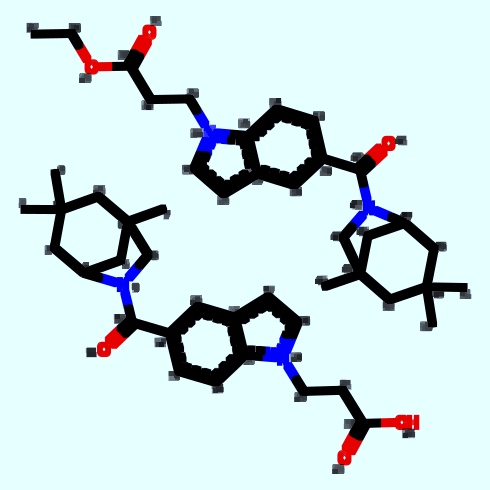 CC1(C)CC2CC(C)(CN2C(=O)c2ccc3c(ccn3CCC(=O)O)c2)C1.CCOC(=O)CCn1ccc2cc(C(=O)N3CC4(C)CC3CC(C)(C)C4)ccc21